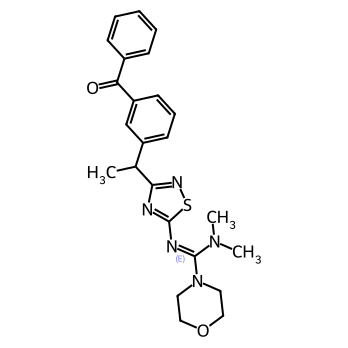 CC(c1cccc(C(=O)c2ccccc2)c1)c1nsc(/N=C(\N(C)C)N2CCOCC2)n1